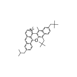 Cc1c2c(c(CC(C)(C)C)c3ccc(CC(C)(C)C)cc13)Oc1c3ccc(CC(C)C)cc3cc3cc[n+](C)c-2c13